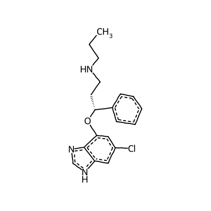 CCCNCC[C@@H](Oc1cc(Cl)cc2[nH]cnc12)c1ccccc1